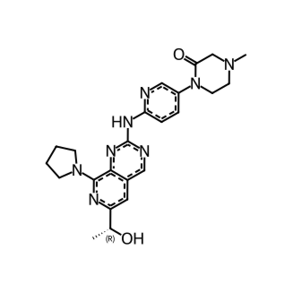 C[C@@H](O)c1cc2cnc(Nc3ccc(N4CCN(C)CC4=O)cn3)nc2c(N2CCCC2)n1